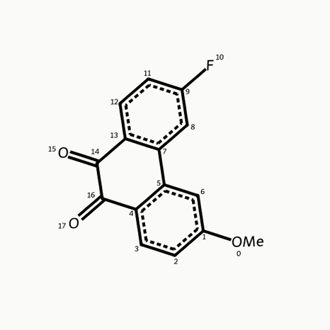 COc1ccc2c(c1)-c1cc(F)ccc1C(=O)C2=O